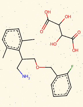 Cc1cccc(C)c1C(CN)COCc1ccccc1F.O=C(O)C(O)C(O)C(=O)O